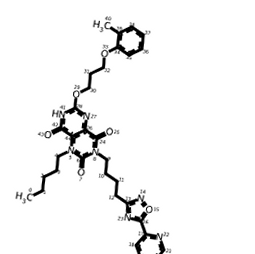 CCCCCn1c(=O)n(CCCCc2noc(-c3ccccn3)n2)c(=O)c2nc(OCCCOc3ccccc3C)[nH]c(=O)c21